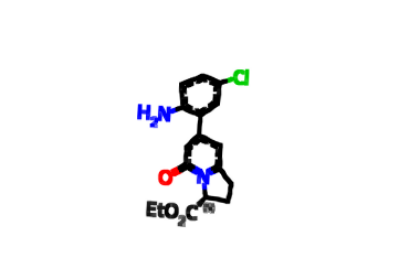 CCOC(=O)[C@@H]1CCc2cc(-c3cc(Cl)ccc3N)cc(=O)n21